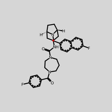 O=C(NC1C[C@H]2CC[C@H](C1)N2Cc1ccc2cc(F)ccc2c1)N1CCCN(C(=O)c2ccc(F)cc2)CC1